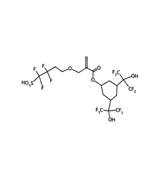 C=C(COCCC(F)(F)C(F)(F)S(=O)(=O)O)C(=O)OC1CC(C(O)(C(F)(F)F)C(F)(F)F)CC(C(O)(C(F)(F)F)C(F)(F)F)C1